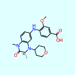 COc1cc(C(=O)O)ccc1Nc1ccc2c(c1)N(C1CCOCC1)[C@H](C)C(=O)N2C